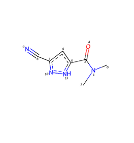 CN(C)C(=O)c1cc(C#N)n[nH]1